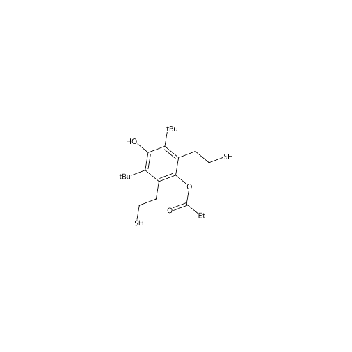 CCC(=O)Oc1c(CCS)c(C(C)(C)C)c(O)c(C(C)(C)C)c1CCS